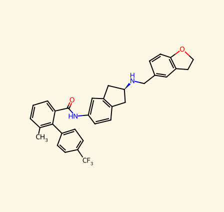 Cc1cccc(C(=O)Nc2ccc3c(c2)C[C@@H](NCc2ccc4c(c2)CCO4)C3)c1-c1ccc(C(F)(F)F)cc1